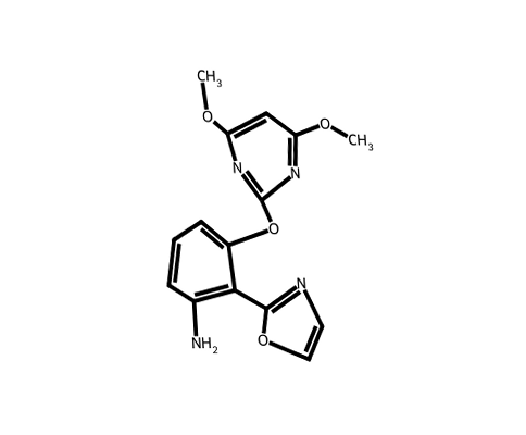 COc1cc(OC)nc(Oc2cccc(N)c2-c2ncco2)n1